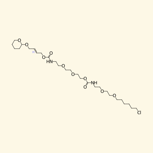 O=C(NCCOCCOCCOC(=O)NCCOCCOCCCCCCCl)OC/C=C/COC1CCCCO1